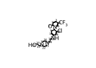 O=c1ccc(C(F)(F)F)cn1C1CC=C(NCCN2CCN(CCO)CC2)C=C1Cl